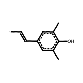 [CH2]C=Cc1cc(C)c(O)c(C)c1